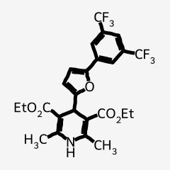 CCOC(=O)C1=C(C)NC(C)=C(C(=O)OCC)C1c1ccc(-c2cc(C(F)(F)F)cc(C(F)(F)F)c2)o1